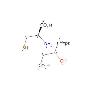 CCCCCCCC(O)CC(=O)O.N[C@@H](CS)C(=O)O